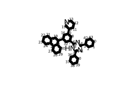 c1ccc(C2=NC(c3cc(-c4cccnc4)cc(-c4cc5ccccc5c5ccccc45)c3)NC(c3ccccc3)=N2)cc1